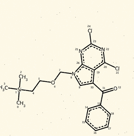 C[Si](C)(C)CCOCn1cc(C(=O)c2ccccc2)c2c(Cl)nc(Cl)nc21